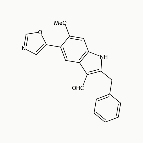 COc1cc2[nH]c(Cc3ccccc3)c(C=O)c2cc1-c1cnco1